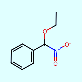 CCO[C](c1ccccc1)[N+](=O)[O-]